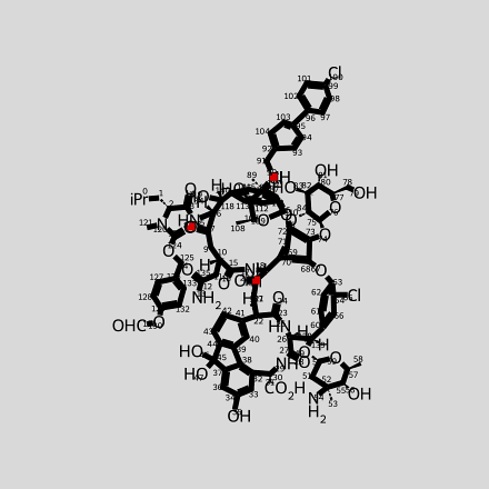 CC(C)C[C@H](C(=O)N[C@H]1C(=O)C[C@@H](CC(N)=O)C(=O)N[C@H]2C(=O)C[C@H]3C(=O)N[C@H](C(=O)N[C@H](C(=O)O)c4cc(O)cc5c4-c4cc3ccc4C5(O)O)[C@H](O[C@H]3C[C@](C)(N)[C@@H](O)[C@H](C)O3)c3ccc(c(Cl)c3)Oc3cc2cc(c3O[C@@H]2O[C@H](CO)[C@@H](O)[C@H](O)[C@H]2O[C@H]2C[C@](C)(NCc3ccc(-c4ccc(Cl)cc4)cc3)[C@@H](O)[C@H](C)O2)Oc2ccc(cc2Cl)[C@H]1O)N(C)C(=O)OCc1ccc(OC=O)cc1